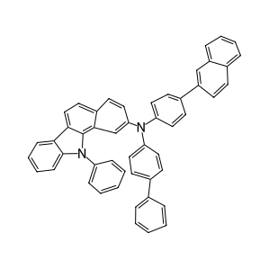 c1ccc(-c2ccc(N(c3ccc(-c4ccc5ccccc5c4)cc3)c3ccc4ccc5c6ccccc6n(-c6ccccc6)c5c4c3)cc2)cc1